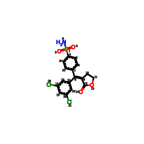 NS(=O)(=O)c1ccc(/C(=C2\CCOC2=O)c2cc(Cl)cc(Cl)c2)cc1